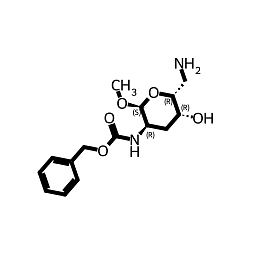 CO[C@H]1O[C@H](CN)[C@H](O)C[C@H]1NC(=O)OCc1ccccc1